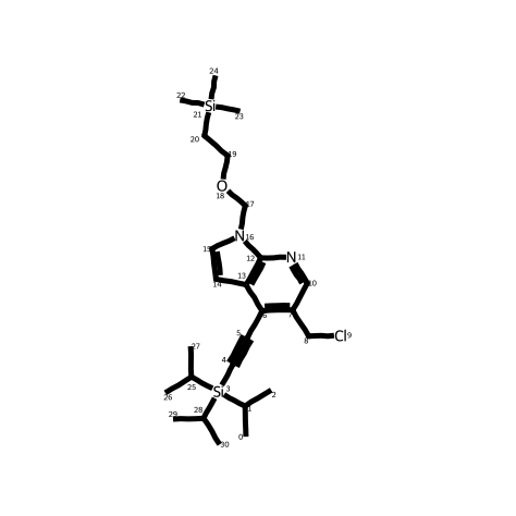 CC(C)[Si](C#Cc1c(CCl)cnc2c1ccn2COCC[Si](C)(C)C)(C(C)C)C(C)C